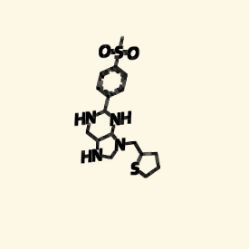 CS(=O)(=O)c1ccc(C2NCC3NCN(CC4CCCS4)C3N2)cc1